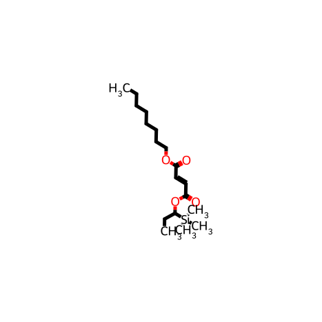 CCCCCCCCOC(=O)C=CC(=O)OC(CC)[Si](C)(C)C